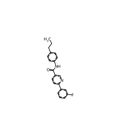 CCCc1ccc(NC(=O)c2ccc(-c3cccc(F)c3)nc2)cc1